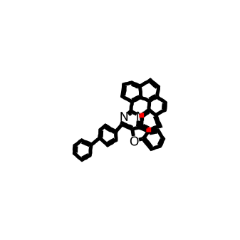 c1ccc(-c2ccc(-c3nc(-c4cccc5ccc6ccc7ccccc7c6c45)nc4c3oc3ccccc34)cc2)cc1